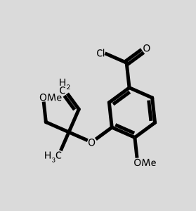 C=CC(C)(COC)Oc1cc(C(=O)Cl)ccc1OC